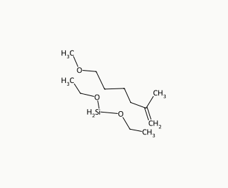 C=C(C)CCCCOC.CCO[SiH2]OCC